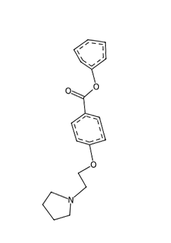 O=C(Oc1ccccc1)c1ccc(OCCN2CCCC2)cc1